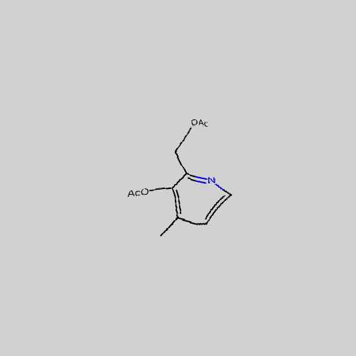 CC(=O)OCc1nccc(C)c1OC(C)=O